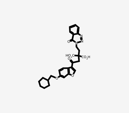 O=C(CC(CCn1nnc2ccccc2c1=O)(C(=O)O)C(=O)O)c1coc2cc(OCC3CCCCC3)ccc12